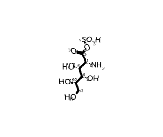 N[C@@H](C(=O)OS(=O)(=O)O)[C@@H](O)[C@H](O)[C@H](O)CO